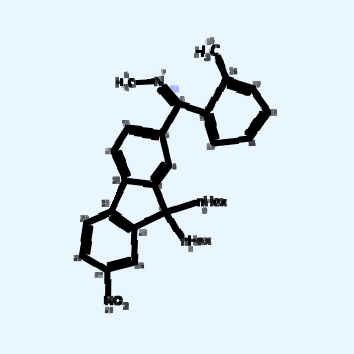 CCCCCCC1(CCCCCC)c2cc(/C(=N\C)c3ccccc3C)ccc2-c2ccc([N+](=O)[O-])cc21